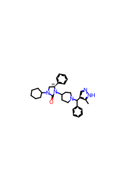 Cc1[nH]ncc1C(c1ccccc1)N1CCC(N2C(=O)N(C3CCCCC3)C[C@H]2c2ccccc2)CC1